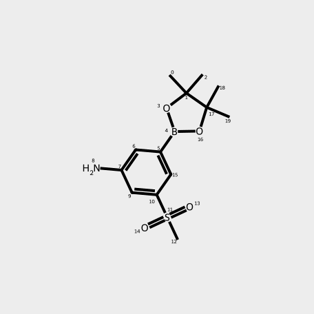 CC1(C)OB(c2cc(N)cc(S(C)(=O)=O)c2)OC1(C)C